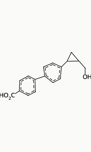 O=C(O)c1ccc(-c2ccc(C3CC3CO)cc2)cc1